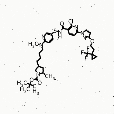 CC1CC(CCCCN(C)c2ccc(SNC(=O)c3ccc(-n4ccc(OCCC5(C(F)(F)F)CC5)n4)nc3Cl)cn2)CN1C(=O)OC(C)(C)C